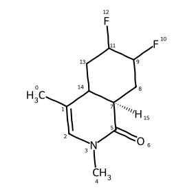 CC1=CN(C)C(=O)[C@@H]2CC(F)C(F)CC12